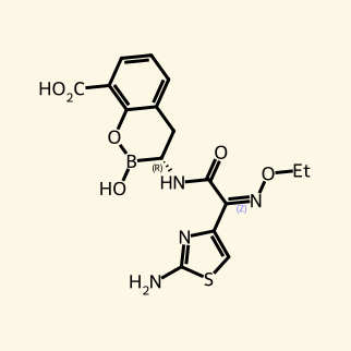 CCO/N=C(\C(=O)N[C@H]1Cc2cccc(C(=O)O)c2OB1O)c1csc(N)n1